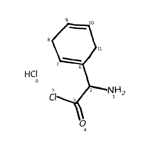 Cl.NC(C(=O)Cl)C1=CCC=CC1